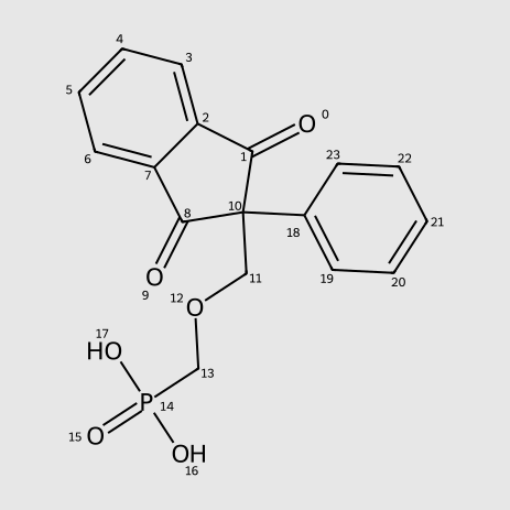 O=C1c2ccccc2C(=O)C1(COCP(=O)(O)O)c1ccccc1